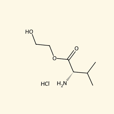 CC(C)[C@H](N)C(=O)OCCO.Cl